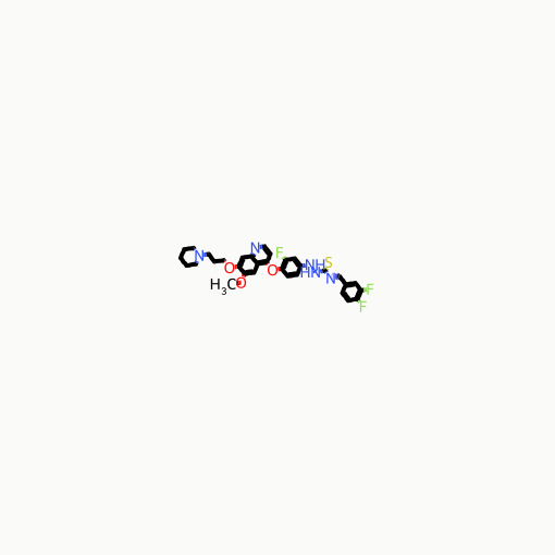 COc1cc2c(Oc3ccc(NNC(=S)/N=C/c4ccc(F)c(F)c4)cc3F)ccnc2cc1OCCCN1CCCCC1